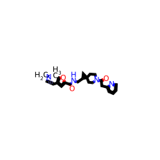 C=N/C=C\c1cc(C(=O)NCC2CC23CCN(C(=O)Cc2ccccn2)CC3)oc1C